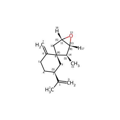 C=C(C)[C@H]1CCC(=C)[C@]2(C1)C[C@@H]1O[C@@H]1[C@H]2C